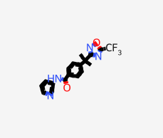 CC(C)(c1ccc(C(=O)Nc2cccnc2)cc1)c1noc(C(F)(F)F)n1